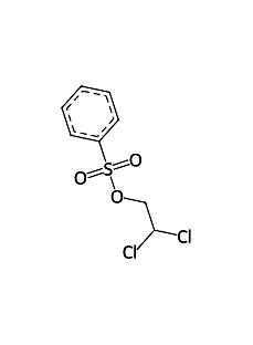 O=S(=O)(OCC(Cl)Cl)c1ccccc1